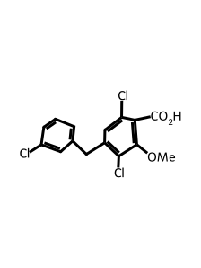 COc1c(Cl)c(Cc2cccc(Cl)c2)cc(Cl)c1C(=O)O